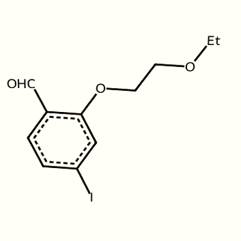 CCOCCOc1cc(I)ccc1C=O